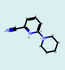 N#Cc1cccc(N2CCCCC2)n1